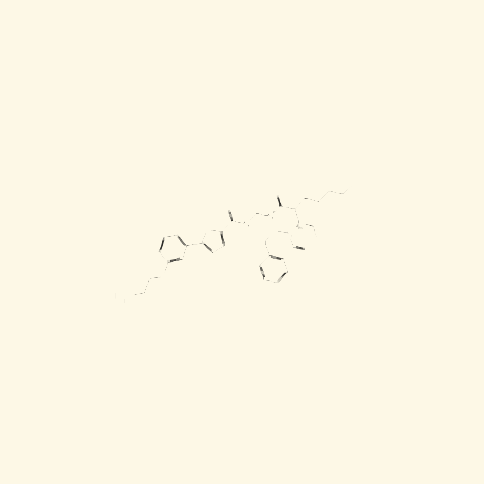 CCCCCC(C(=O)NCNC(=O)c1ccc(-c2cccc(OCCC)c2)o1)[C@@H](CC)N(C=O)OCc1ccccc1